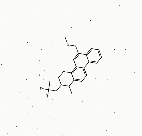 COCc1cc2c3c(ccc2c2ccccc12)C(C)C(CC(F)(F)F)CC3